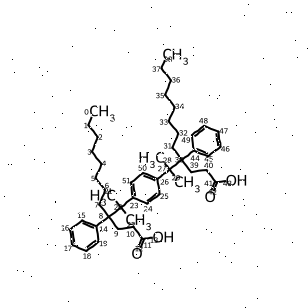 CCCCCCCCC(CCC(=O)O)(c1ccccc1)C(C)(C)c1ccc(C(C)(C)C(CCCCCCCC)(CCC(=O)O)c2ccccc2)cc1